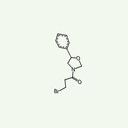 O=C(CCBr)N1COC(c2ccccc2)C1